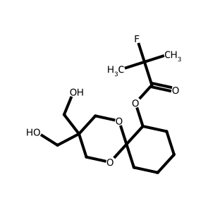 CC(C)(F)C(=O)OC1CCCCC12OCC(CO)(CO)CO2